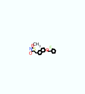 COC1=NC(=O)C(Cc2ccc3cc(OCc4ccccc4F)ccc3c2)S1